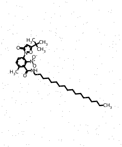 CCCCCCCCCCCCCCCCCCNC(=O)c1c(C)ccc(-n2oc(C(C)(C)C)cc2=O)c1[N+](=O)[O-]